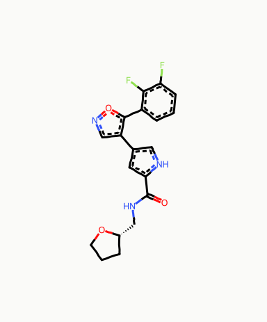 O=C(NC[C@@H]1CCCO1)c1cc(-c2cnoc2-c2cccc(F)c2F)c[nH]1